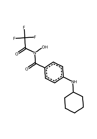 O=C(c1ccc(NC2CCCCC2)cc1)N(O)C(=O)C(F)(F)F